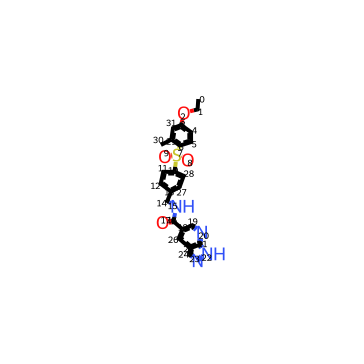 CCOc1ccc(S(=O)(=O)c2ccc(CNC(=O)c3cnc4[nH]ncc4c3)cc2)c(C)c1